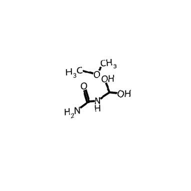 COC.NC(=O)NC(O)O